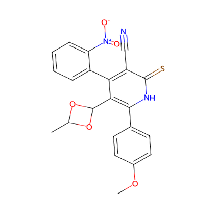 COc1ccc(-c2[nH]c(=S)c(C#N)c(-c3ccccc3[N+](=O)[O-])c2C2OC(C)O2)cc1